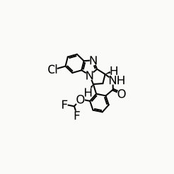 O=C1N[C@@H]2C[C@H](c3c(OC(F)F)cccc31)n1c2nc2ccc(Cl)cc21